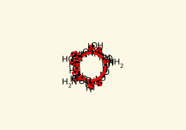 CC(C)C[C@@H]1NC(=O)[C@H](Cc2ccc(O)cc2)NC(=O)[C@H](Cc2c[nH]c3ccccc23)NC(=O)[C@@H](C)N(C)C(=O)[C@H](Cc2ccc(O)cc2)NC(=O)[C@H](Cc2ccccc2)N(C)C(=O)[C@H](C(C)C)NC(=O)[C@H](CCC(N)=O)NC(=O)[C@@H](C)N(C)C(=O)[C@H](C)N(C)C(=O)[C@H](Cc2ccccc2)N(C)C(=O)[C@H](Cc2cc(F)c(F)c(F)c2)NC(=O)CSC[C@@H](C(=O)NCC(N)=O)NC1=O